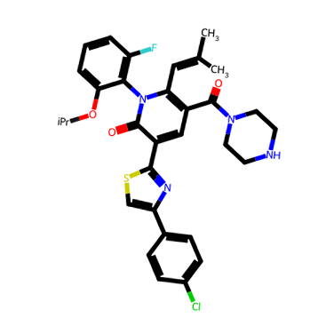 CC(C)=Cc1c(C(=O)N2CCNCC2)cc(-c2nc(-c3ccc(Cl)cc3)cs2)c(=O)n1-c1c(F)cccc1OC(C)C